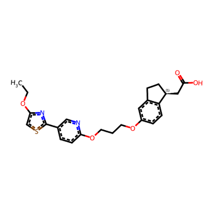 CCOc1csc(-c2ccc(OCCCOc3ccc4c(c3)CC[C@H]4CC(=O)O)nc2)n1